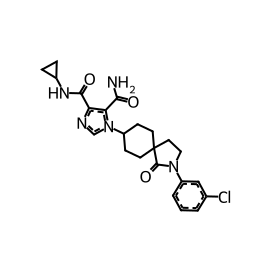 NC(=O)c1c(C(=O)NC2CC2)ncn1C1CCC2(CC1)CCN(c1cccc(Cl)c1)C2=O